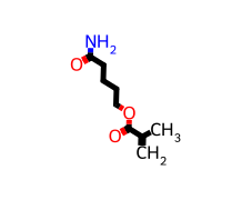 C=C(C)C(=O)OCCCCC(N)=O